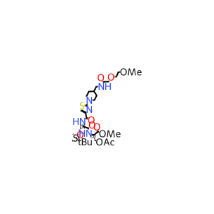 COCCOCC(=O)NCC1CCN(c2nc(C(=O)N[C@@H](CO[Si](C)(C)C(C)(C)C)C(=O)N[C@@H](COC(C)=O)C(=O)OC)cs2)CC1